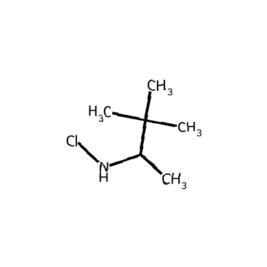 CC(NCl)C(C)(C)C